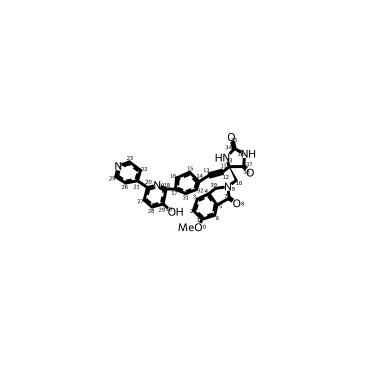 COc1ccc2c(c1)C(=O)N(C[C@@]1(C#Cc3ccc(-c4nc(-c5ccncc5)ccc4O)cc3)NC(=O)NC1=O)C2